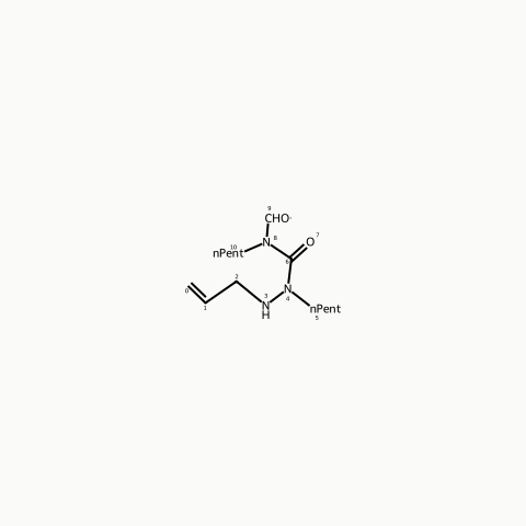 C=CCNN(CCCCC)C(=O)N([C]=O)CCCCC